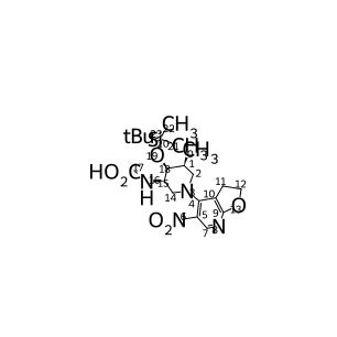 C[C@H]1CN(c2c([N+](=O)[O-])cnc3c2CCO3)C[C@@H](NC(=O)O)[C@H]1O[Si](C)(C)C(C)(C)C